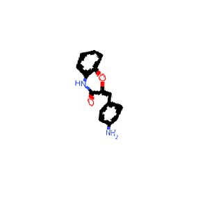 Nc1ccc(C=C2Oc3ccccc3NC2=O)cc1